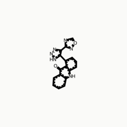 O=c1c2ccccc2[nH]c2cccc(-c3[nH]nnc3-c3ncon3)c12